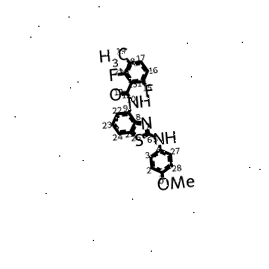 COc1ccc(Nc2nc3c(NC(=O)c4c(F)ccc(C)c4F)cccc3s2)cc1